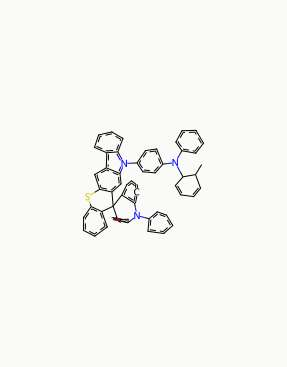 CC1C=CC=CC1N(c1ccccc1)c1ccc(-n2c3ccccc3c3cc4c(cc32)C2(c3ccccc3S4)c3ccccc3N(c3ccccc3)c3ccccc32)cc1